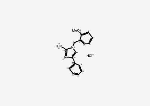 COc1ccccc1Cn1cc(-c2ccccc2)nc1N.Cl